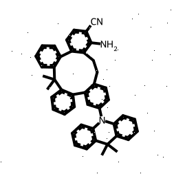 CC1(C)c2ccccc2-c2cc(N3c4ccccc4C(C)(C)c4ccccc43)ccc2CCc2c(ccc(C#N)c2N)-c2ccccc21